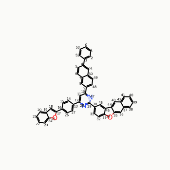 c1ccc(-c2ccc3cc(-c4cc(-c5ccc(-c6cc7ccccc7o6)cc5)nc(-c5ccc6oc7cc8ccccc8cc7c6c5)n4)ccc3c2)cc1